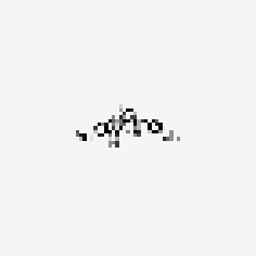 CC(=O)CN1CCC(Cn2cnc3c(N(Cc4ccc(C(F)(F)F)cc4)C4CC4)ncnc32)C(O)C1